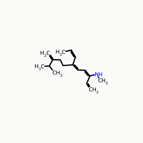 C=C\C(=C/C=C(\C=C/C)CCC(=C)C(C)C)NC